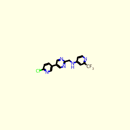 FC(F)(F)c1cc(NCc2ncc(-c3ccc(Cl)nc3)cn2)ccn1